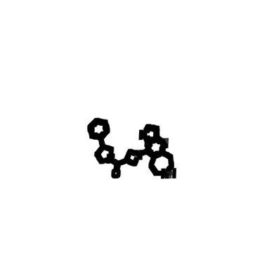 O=C(C1CN(c2c3c(nc4ccnn24)CCNCC3)C1)N1CCC(c2ccccc2)C1